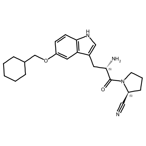 N#C[C@@H]1CCCN1C(=O)[C@@H](N)Cc1c[nH]c2ccc(OCC3CCCCC3)cc12